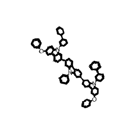 c1ccc(Oc2ccc3c(c2)c2ccc(-c4ccc5c6ccc(-c7ccc8c9cc(Oc%10ccccc%10)ccc9n(-c9cccc(-c%10ccccc%10)c9)c8c7)cc6n(-c6ccccc6)c5c4)cc2n3-c2cccc(-c3ccccc3)c2)cc1